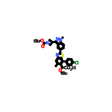 CCOC(=O)[C@@H](OC(C)(C)C)c1c(C)cc2nc(-c3ccc4c(c3)c(C3CN(C(=O)OC(C)(C)C)C3)nn4C)sc2c1-c1ccc(Cl)cc1